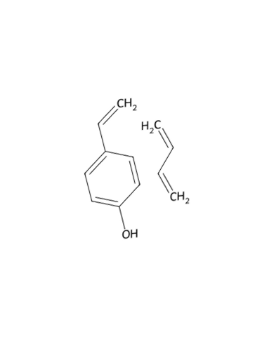 C=CC=C.C=Cc1ccc(O)cc1